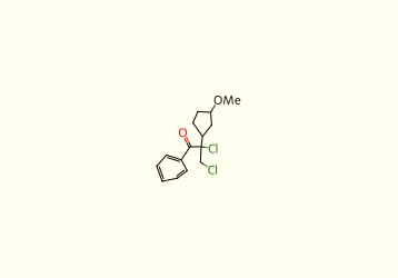 COC1CCC(C(Cl)(CCl)C(=O)c2ccccc2)C1